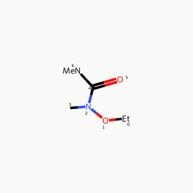 CCON(C)C(=O)NC